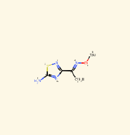 CC(C)(C)ON=C(C(=O)O)c1nsc(N)n1